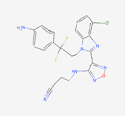 N#CCCNc1nonc1-c1nc2c(Cl)cccc2n1CC(F)(F)c1ccc(N)cc1